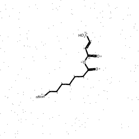 CCCCCCCCCCCCCCCC(=O)OC(=O)C=CC(=O)O